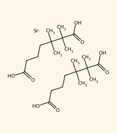 CC(C)(CCCC(=O)O)C(C)(C)C(=O)O.CC(C)(CCCC(=O)O)C(C)(C)C(=O)O.[Sr]